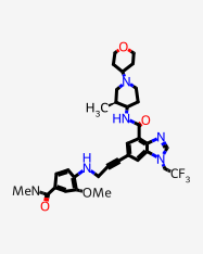 CNC(=O)c1ccc(NCC#Cc2cc(C(=O)NC3CCN(C4CCOCC4)C[C@@H]3C)c3ncn(CC(F)(F)F)c3c2)c(OC)c1